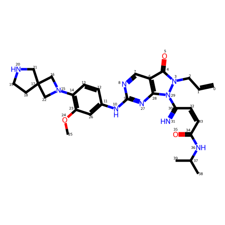 C=CCn1c(=O)c2cnc(Nc3ccc(N4CC5(CCNC5)C4)c(OC)c3)nc2n1C(=N)/C=C\C(=O)NC(C)C